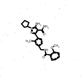 COc1ccccc1C(=O)NCc1ccc(-c2nn(C3CCCC3)c(N)c2C(N)=O)c(C)c1